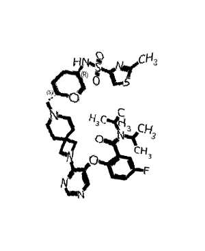 Cc1nc(S(=O)(=O)N[C@@H]2CC[C@@H](CN3CCC4(CC3)CN(c3ncncc3Oc3ccc(F)cc3C(=O)N(C(C)C)C(C)C)C4)OC2)cs1